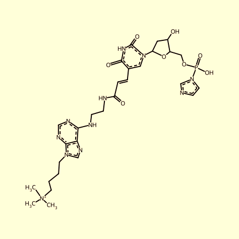 C[N+](C)(C)CCCCn1cnc2c(NCCNC(=O)/C=C/c3cn(C4CC(O)C(COP(=O)(O)n5ccnc5)O4)c(=O)[nH]c3=O)ncnc21